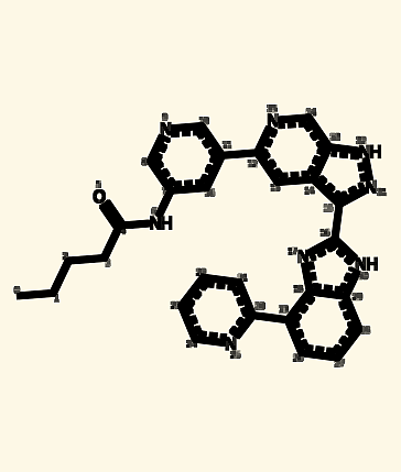 CCCCC(=O)Nc1cncc(-c2cc3c(-c4nc5c(-c6ccccn6)cccc5[nH]4)n[nH]c3cn2)c1